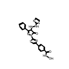 O=C(NO)c1ccc(-c2csc(N3N=C(c4ccccc4)C(NNc4nccs4)C3=O)n2)cc1